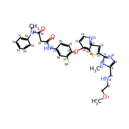 COCCNCc1cnc(-c2cc3nccc(Oc4ccc(NC(=O)CC(=O)N(C)c5ccccc5)cc4F)c3s2)n1C